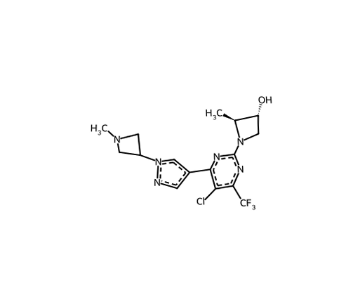 C[C@H]1[C@H](O)CN1c1nc(-c2cnn(C3CN(C)C3)c2)c(Cl)c(C(F)(F)F)n1